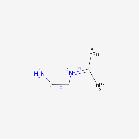 CCC/C(=N\C=C/N)C(C)(C)C